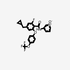 O=C(Nc1ccc[n+]([O-])c1)c1c(F)cc(CC2CC2)cc1Oc1ccc(OC(F)(F)F)cc1